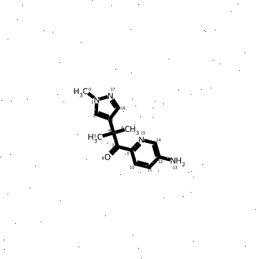 Cn1cc(C(C)(C)C(=O)c2ccc(N)cn2)cn1